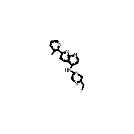 Cc1cccnc1-c1ccc2c(Nc3cnc(CF)cn3)ccnc2n1